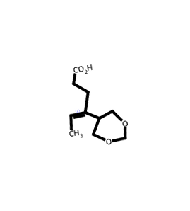 C/C=C(/CCC(=O)O)C1COCOC1